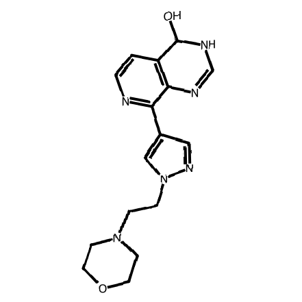 OC1NC=Nc2c1ccnc2-c1cnn(CCN2CCOCC2)c1